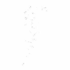 C#CCCCCNC(=O)Nc1ccc(C(F)(F)[C@@H]2O[C@H](CCP(=O)(O)O)[C@@H](O)[C@H](O)[C@@H]2O)cc1